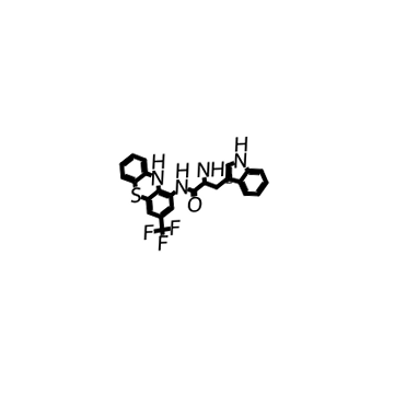 NC(Cc1c[nH]c2ccccc12)C(=O)Nc1cc(C(F)(F)F)cc2c1Nc1ccccc1S2